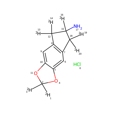 Cl.[2H]C1([2H])Oc2cc3c(cc2O1)C([2H])([2H])C([2H])(N)C3([2H])[2H]